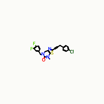 CN1C(=O)N(Cc2ccc(F)c(F)c2)Cc2nc(C#CCc3ccc(Cl)cc3)sc21